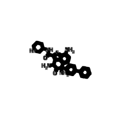 Nc1ccc2c3c(c(C(=O)NC4CCCNC4)sc13)C(N)C(=O)C2(N)c1ccc(-c2ccccc2)cc1